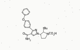 CC(C)(C)C1C(n2cc(C(N)=O)c(-c3ccc(Oc4ccccc4)cc3)n2)CCN1C(=O)O